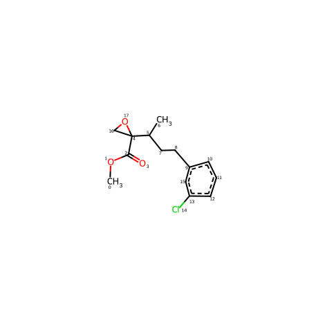 COC(=O)C1(C(C)CCc2cccc(Cl)c2)CO1